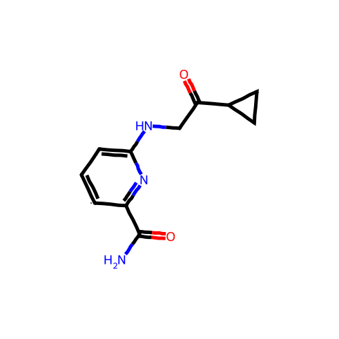 NC(=O)c1[c]ccc(NCC(=O)C2CC2)n1